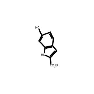 CCOC(=O)c1cc2ccc(C#N)cc2[nH]1